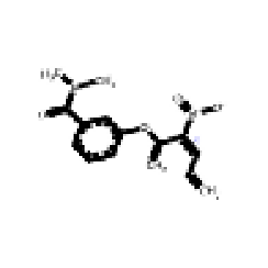 C=C/C=C(\C(=C)Oc1cccc(C(=O)N(C)C)c1)[N+](=O)[O-]